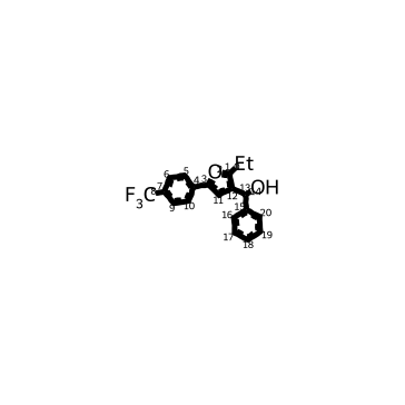 CCc1oc(-c2ccc(C(F)(F)F)cc2)cc1C(O)c1ccccc1